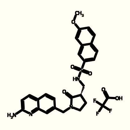 COc1ccc2ccc(S(=O)(=O)NC[C@@H]3CCN(Cc4ccc5ccc(N)nc5c4)C3=O)cc2c1.O=C(O)C(F)(F)F